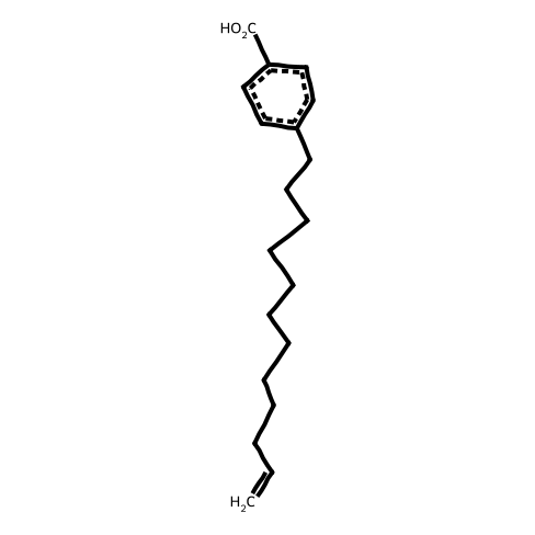 C=CCCCCCCCCCCc1ccc(C(=O)O)cc1